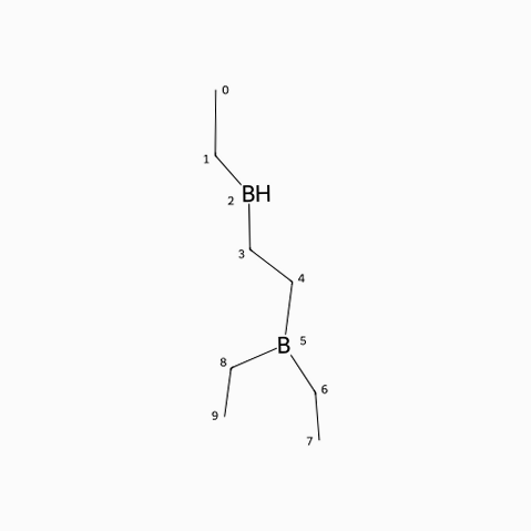 CCBCCB(CC)CC